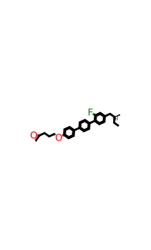 CC[C@H](C)Cc1ccc(-c2ccc(-c3ccc(OCCCC4CO4)cc3)cc2)c(F)c1